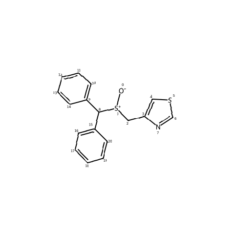 [O-][S+](Cc1cscn1)C(c1ccccc1)c1ccccc1